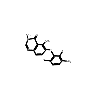 Cc1c(Oc2c(F)ccc(N)c2F)ccc2ncn(C)c(=O)c12